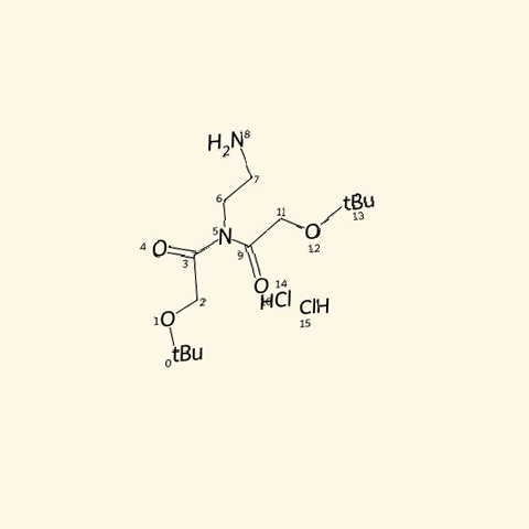 CC(C)(C)OCC(=O)N(CCN)C(=O)COC(C)(C)C.Cl.Cl